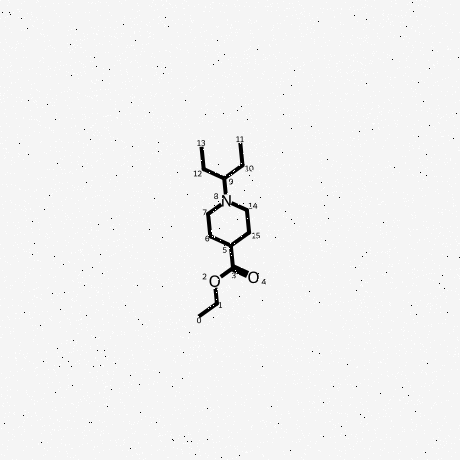 CCOC(=O)C1CCN(C(CC)CC)CC1